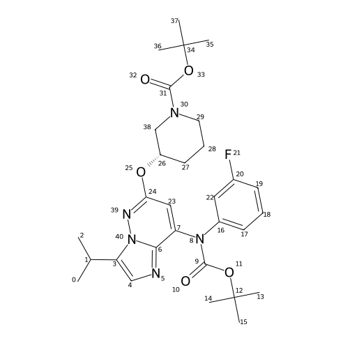 CC(C)c1cnc2c(N(C(=O)OC(C)(C)C)c3cccc(F)c3)cc(O[C@H]3CCCN(C(=O)OC(C)(C)C)C3)nn12